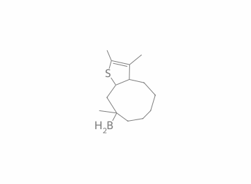 BC1(C)CCCCCC2C(C)=C(C)SC2C1